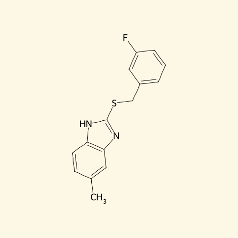 Cc1ccc2[nH]c(SCc3cccc(F)c3)nc2c1